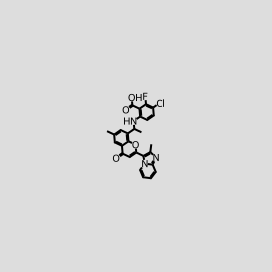 Cc1cc(C(C)Nc2ccc(Cl)c(F)c2C(=O)O)c2oc(-c3c(C)nc4ccccn34)cc(=O)c2c1